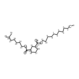 CCCCCCCCCCCCOC(=O)C1CCCC(C(=O)OCCCCCC(C)C)C1